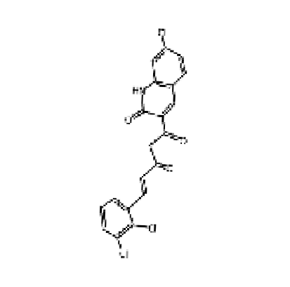 O=C(C=Cc1cccc(Cl)c1Cl)CC(=O)c1cc2ccc(Cl)cc2[nH]c1=O